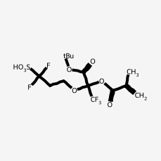 C=C(C)C(=O)OC(OCCC(F)(F)S(=O)(=O)O)(C(=O)OC(C)(C)C)C(F)(F)F